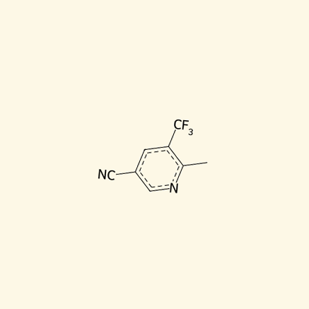 Cc1ncc(C#N)cc1C(F)(F)F